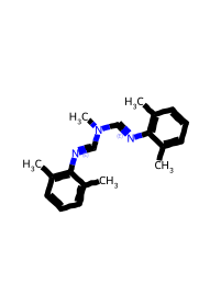 Cc1cccc(C)c1/N=C/N(C)/C=N/c1c(C)cccc1C